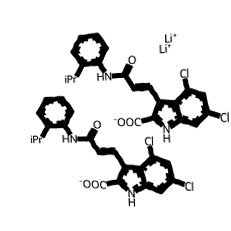 CC(C)c1ccccc1NC(=O)/C=C/c1c(C(=O)[O-])[nH]c2cc(Cl)cc(Cl)c12.CC(C)c1ccccc1NC(=O)/C=C/c1c(C(=O)[O-])[nH]c2cc(Cl)cc(Cl)c12.[Li+].[Li+]